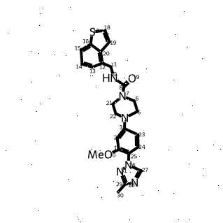 COc1cc(N2CCN(C(=O)NCc3cccc4sccc34)CC2)ccc1-n1cnc(C)n1